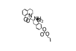 C=CCOC(=O)Oc1ccc(CC(N)C(=O)N2CCCc3cccc(Cl)c32)c(Br)c1